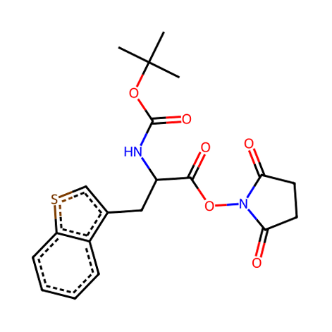 CC(C)(C)OC(=O)NC(Cc1csc2ccccc12)C(=O)ON1C(=O)CCC1=O